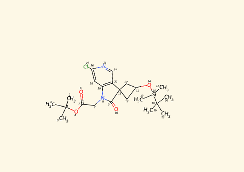 CC(C)(C)OC(=O)CN1C(=O)C2(CC(O[Si](C)(C)C(C)(C)C)C2)c2cnc(Cl)cc21